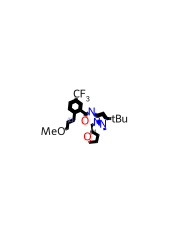 COC/C=C/c1ccc(C(F)(F)F)cc1C(=O)N=c1cc(C(C)(C)C)n(C)n1C[C@H]1CCCO1